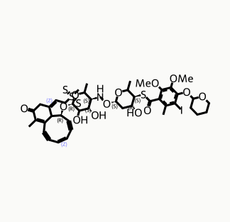 COc1c(OC2CCCCO2)c(I)c(C)c(C(=O)S[C@@H]2C(C)O[C@@H](ON[C@@H]3C(C)O[C@@H](O[C@H]4C#C/C=C\C#CC5=C(C)C(=O)C/C(=C/CS(C)(=S)=S)C54)C(O)[C@H]3O)C[C@H]2O)c1OC